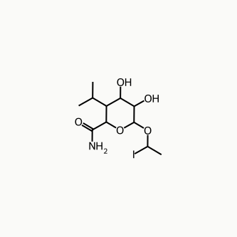 CC(I)OC1OC(C(N)=O)C(C(C)C)C(O)C1O